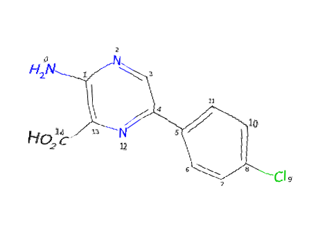 Nc1ncc(-c2ccc(Cl)cc2)nc1C(=O)O